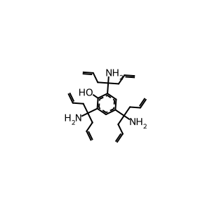 C=CCC(N)(CC=C)c1cc(C(N)(CC=C)CC=C)c(O)c(C(N)(CC=C)CC=C)c1